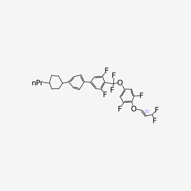 CCCC1CCC(c2ccc(-c3cc(F)c(C(F)(F)Oc4cc(F)c(O/C=C/C(F)F)c(F)c4)c(F)c3)cc2)CC1